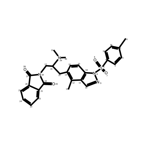 Cc1ccc(S(=O)(=O)n2ncc3c(C)c(CC(CN4C(=O)c5ccccc5C4=O)N(C)C)ccc32)cc1